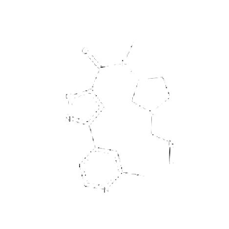 C=NCN1CC[C@@H](N(C)C(=O)c2cc(-c3ccnc(C)c3)no2)C1